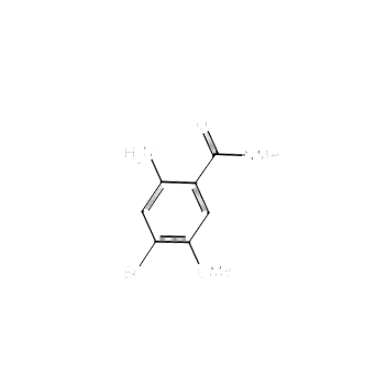 CNC(=O)c1cc(OC)c(Br)cc1N